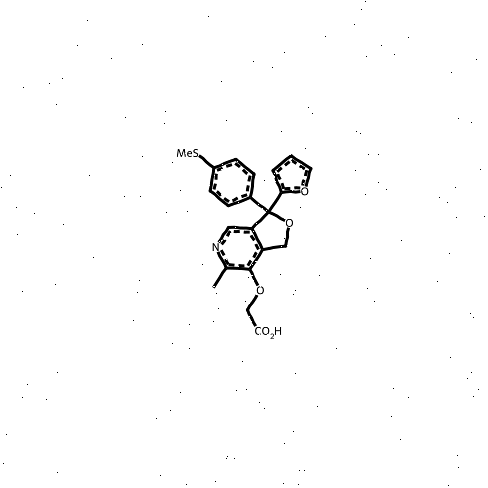 CSc1ccc(C2(c3ccco3)OCc3c2cnc(C)c3OCC(=O)O)cc1